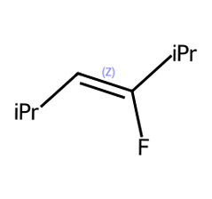 CC(C)/C=C(\F)C(C)C